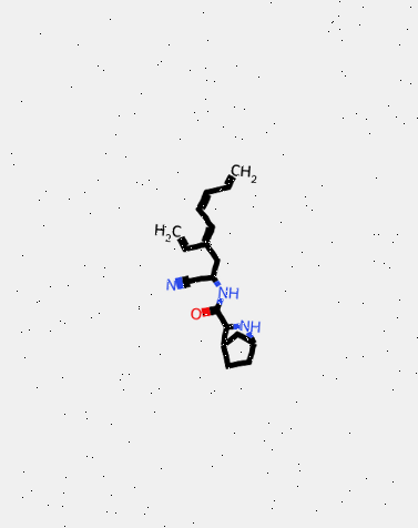 C=C/C=C\C=C(/C=C)CC(C#N)NC(=O)C1NC2CCC1C2